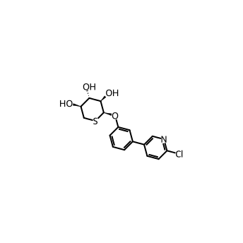 O[C@@H]1[C@@H](O)[C@@H](Oc2cccc(-c3ccc(Cl)nc3)c2)SC[C@H]1O